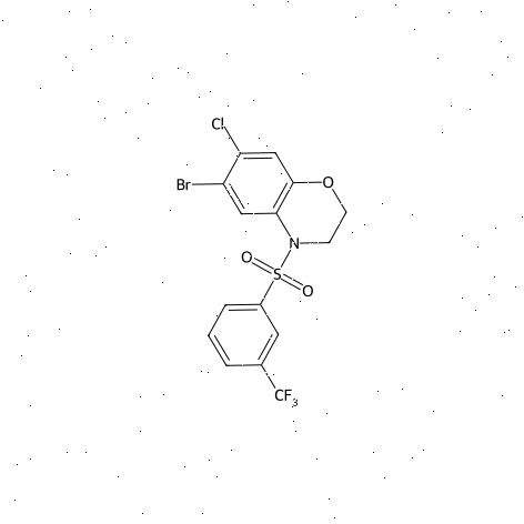 O=S(=O)(c1cccc(C(F)(F)F)c1)N1CCOc2cc(Cl)c(Br)cc21